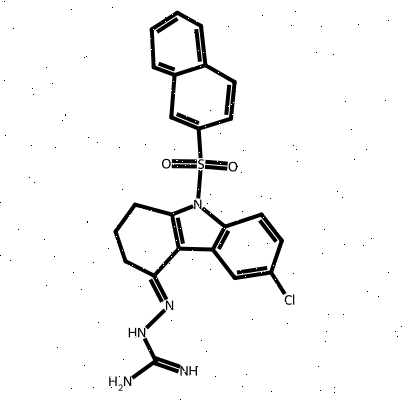 N=C(N)NN=C1CCCc2c1c1cc(Cl)ccc1n2S(=O)(=O)c1ccc2ccccc2c1